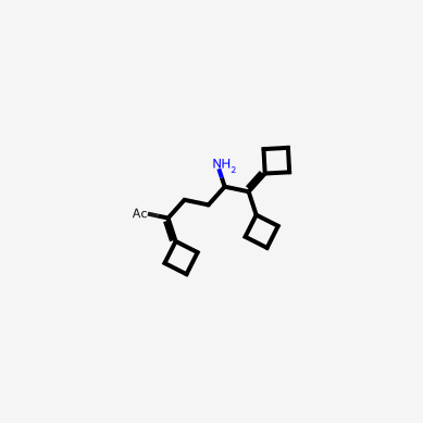 CC(=O)C(CCC(N)C(=C1CCC1)C1CCC1)=C1CCC1